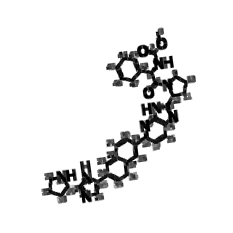 COC(=O)N[C@@H](C(=O)N1CCC[C@H]1c1nc2ccc(-c3ccc4cc(-c5cnc([C@@H]6CCCN6)[nH]5)ccc4c3)nc2[nH]1)C1=CCC=CC1